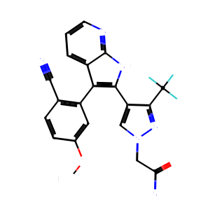 COc1ccc(C#N)c(-c2c(-c3cn(CC(N)=O)nc3C(F)(F)F)[nH]c3ncccc23)c1